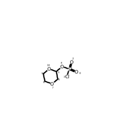 O=S(=O)(Cl)OC1COCCO1